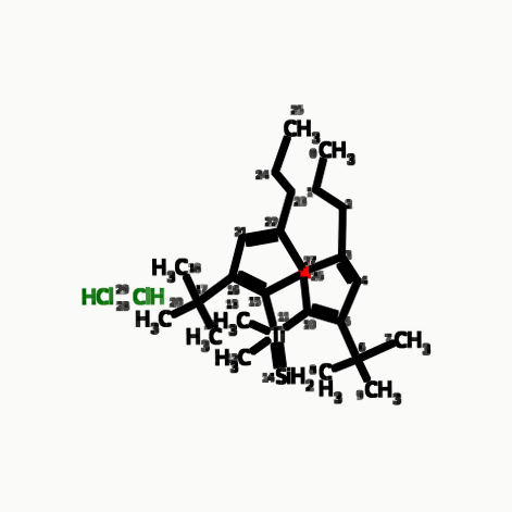 CCCC1=CC(C(C)(C)C)=[C]([Ti]([CH3])([CH3])(=[SiH2])[C]2=C(C(C)(C)C)C=C(CCC)C2)C1.Cl.Cl